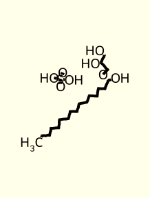 CCCCCCCCCCCCCCCC(O)OCC(O)CO.O=S(=O)(O)O